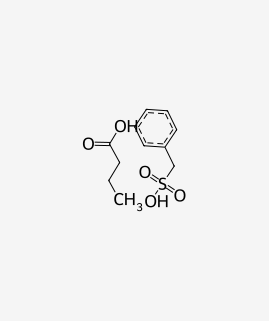 CCCC(=O)O.O=S(=O)(O)Cc1ccccc1